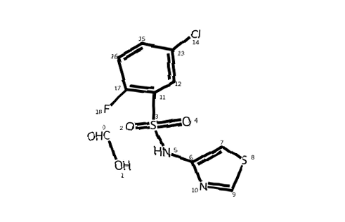 O=CO.O=S(=O)(Nc1cscn1)c1cc(Cl)ccc1F